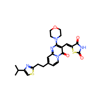 CC(C)c1csc(CCc2ccn3c(=O)c(/C=C4\SC(=O)NC4=O)c(N4CCOCC4)nc3c2)n1